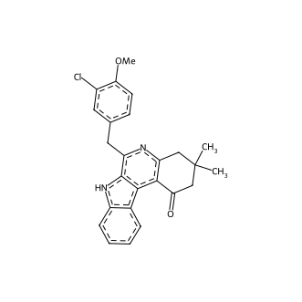 COc1ccc(Cc2nc3c(c4c2[nH]c2ccccc24)C(=O)CC(C)(C)C3)cc1Cl